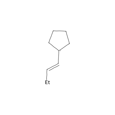 CCC=C[C]1CCCC1